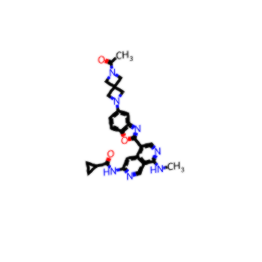 CNc1ncc(-c2nc3cc(N4CC5(CN(C(C)=O)C5)C4)ccc3o2)c2cc(NC(=O)C3CC3)ncc12